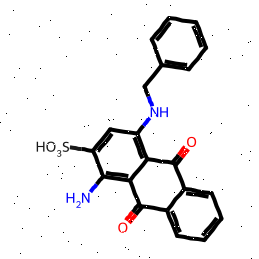 Nc1c(S(=O)(=O)O)cc(NCc2ccccc2)c2c1C(=O)c1ccccc1C2=O